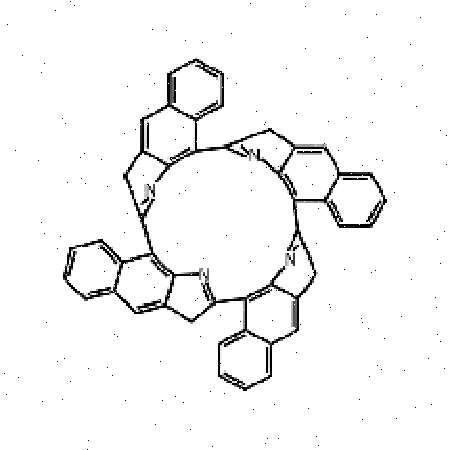 c1ccc2c3c4c(cc2c1)CC(=N4)c1c2c(cc4ccccc14)CC(=N2)c1c2c(cc4ccccc14)CC(=N2)c1c2c(cc4ccccc14)CC3=N2